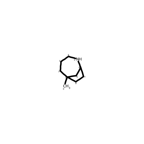 CC12CCCNC(CC1)C2